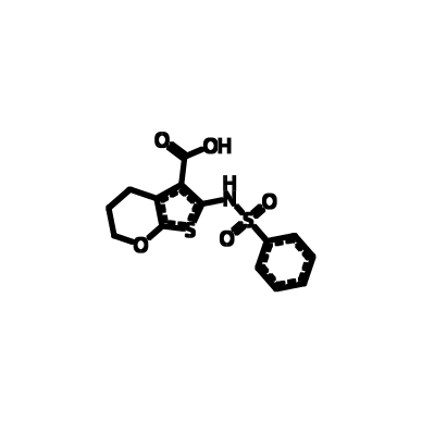 O=C(O)c1c(NS(=O)(=O)c2ccccc2)sc2c1CCCO2